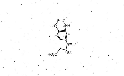 CCC(CC(=O)O)C(=O)c1ccc2c(c1)NCCO2